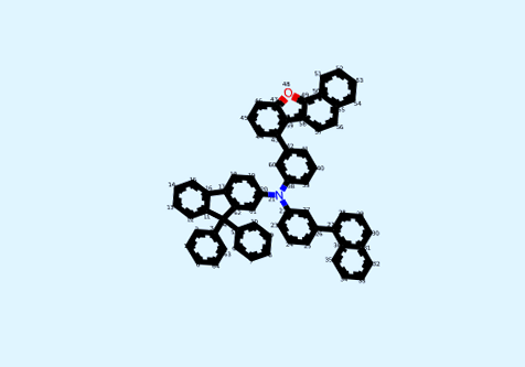 c1ccc(C2(c3ccccc3)c3ccccc3-c3ccc(N(c4cccc(-c5cccc6ccccc56)c4)c4cccc(-c5cccc6oc7c8ccccc8ccc7c56)c4)cc32)cc1